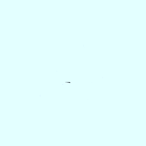 C#C/C(Br)=C(CCCCC)\C(Br)=C(\O)C[C@H]1C=C(C)CC[C@@H]1C(=C)C